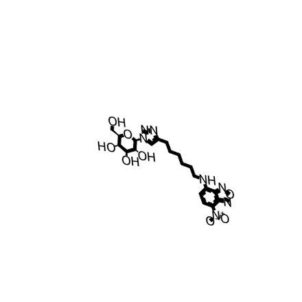 O=[N+]([O-])c1ccc(NCCCCCCc2cn([C@@H]3O[C@H](CO)[C@@H](O)[C@H](O)[C@H]3O)nn2)c2nonc12